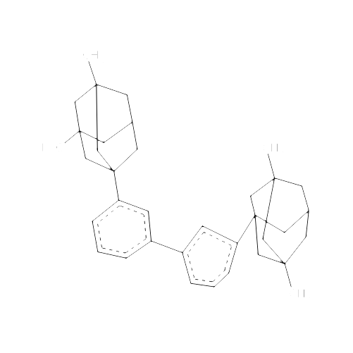 CC12CC3CC(C)(C1)CC(c1cccc(-c4cccc(C56CC7CC(C)(CC(C)(C7)C5)C6)c4)c1)(C3)C2